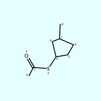 CC(=O)SC1CCC(C)C1